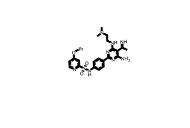 CC(=N)c1c(N)nc(-c2ccc(NS(=O)(=O)c3cc(OC(C)C)ccn3)cc2)nc1NCCN(C)C